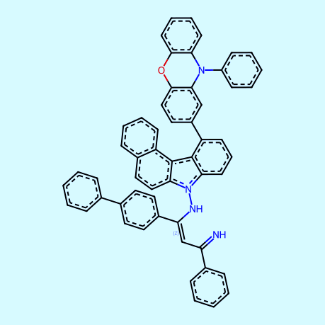 N=C(/C=C(\Nn1c2cccc(-c3ccc4c(c3)N(c3ccccc3)c3ccccc3O4)c2c2c3ccccc3ccc21)c1ccc(-c2ccccc2)cc1)c1ccccc1